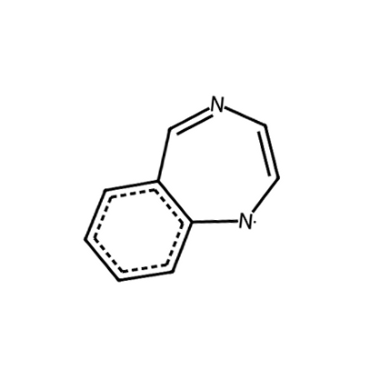 C1=CN=Cc2ccccc2[N]1